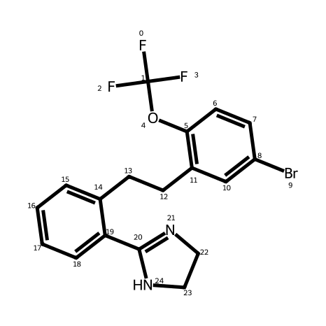 FC(F)(F)Oc1ccc(Br)cc1CCc1ccccc1C1=NCCN1